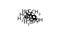 COc1cc(C(=C(C(=O)O)P(=O)(OC)OC)C(C)C)ccc1O